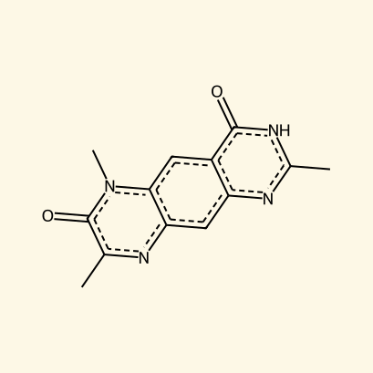 Cc1nc2cc3nc(C)c(=O)n(C)c3cc2c(=O)[nH]1